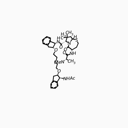 CN[C@@H](C)C(=O)N[C@H]1CCS[C@H]2CC(C)(C)[C@@H](C(=O)N[C@H]3c4ccccc4C[C@H]3OCCOCCO[C@@H]3Cc4ccccc4[C@@H]3NC(C)=O)N2C1=O